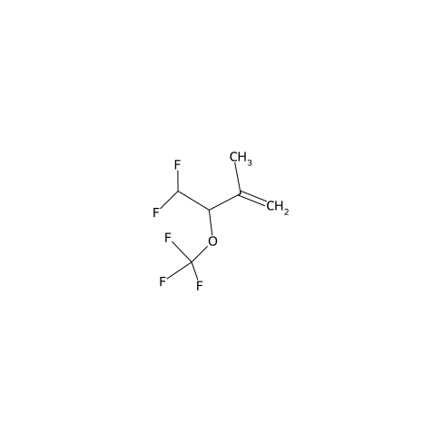 C=C(C)C(OC(F)(F)F)C(F)F